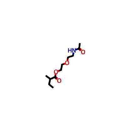 CCC(C)C(=O)OCCOCCNC(C)=O